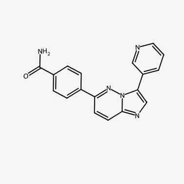 NC(=O)c1ccc(-c2ccc3ncc(-c4cccnc4)n3n2)cc1